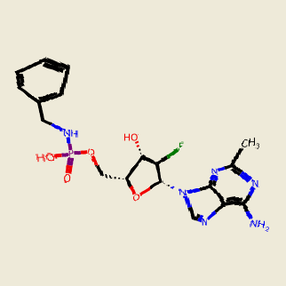 Cc1nc(N)c2ncn([C@@H]3O[C@H](COP(=O)(O)NCc4ccccc4)[C@H](O)C3F)c2n1